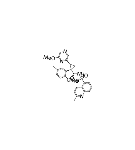 COc1cncc([C@H]2C[C@@]2(C(=O)NS(=O)(=O)c2cccc3nc(C)ccc23)c2cc(C)ccc2OC)n1